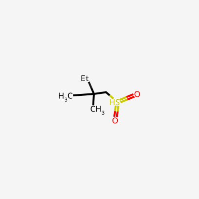 CCC(C)(C)C[SH](=O)=O